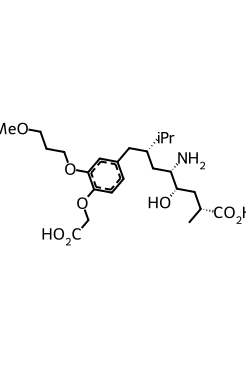 COCCCOc1cc(C[C@@H](C[C@H](N)[C@@H](O)C[C@@H](C)C(=O)O)C(C)C)ccc1OCC(=O)O